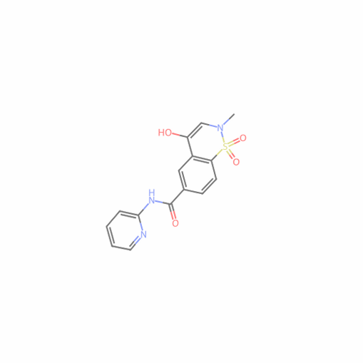 CN1C=C(O)c2cc(C(=O)Nc3ccccn3)ccc2S1(=O)=O